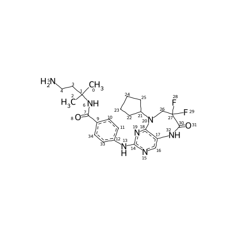 CC(C)(CCN)NC(=O)c1ccc(Nc2ncc3c(n2)N(C2CCCC2)CC(F)(F)C(=O)N3)cc1